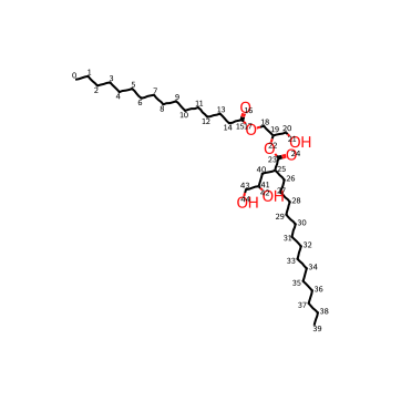 CCCCCCCCCCCCCCCC(=O)OCC(CO)OC(=O)C(CCCCCCCCCCCCCC)CC(O)CO